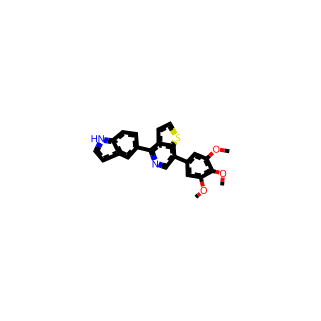 COc1cc(-c2cnc(-c3ccc4[nH]ccc4c3)c3ccsc23)cc(OC)c1OC